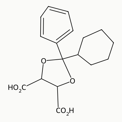 O=C(O)C1OC(c2ccccc2)(C2CCCCC2)OC1C(=O)O